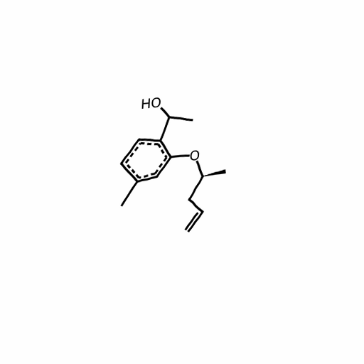 C=CC[C@H](C)Oc1cc(C)ccc1C(C)O